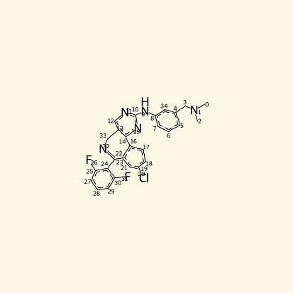 CN(C)Cc1cccc(Nc2ncc3c(n2)-c2ccc(Cl)cc2C(c2c(F)cccc2F)=NC3)c1